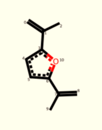 C=C(C)c1ccc(C(=C)C)o1